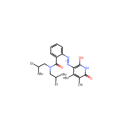 CCCCc1c(/N=N/c2ccccc2C(=O)N(CC(CC)CCCC)CC(CC)CCCC)c(O)[nH]c(=O)c1C#N